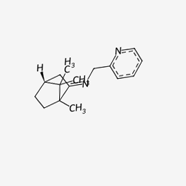 CC12CC[C@H](C/C1=N\Cc1ccccn1)C2(C)C